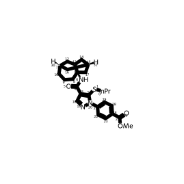 CCCSc1c(C(=O)N[C@@]23CCC[C@H]4CC2C[C@@H](C4)C3)cnn1-c1ccc(C(=O)OC)cc1